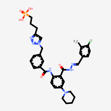 O=C(Nc1ccc(N2CCCCC2)cc1C(=O)NN=Cc1ccc(Cl)c(C(F)(F)F)c1)c1cccc(Cn2cc(CCCP(=O)(O)O)nn2)c1